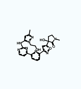 Cc1cc(Nc2nccc(-c3cccc(-c4cc(C5(O)CCN(C)C5=O)on4)n3)n2)n(CCO)n1